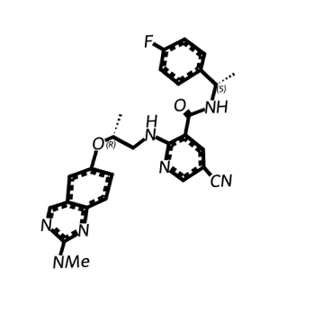 CNc1ncc2cc(O[C@H](C)CNc3ncc(C#N)cc3C(=O)N[C@@H](C)c3ccc(F)cc3)ccc2n1